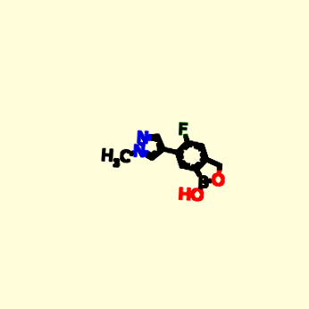 Cn1cc(-c2cc3c(cc2F)COB3O)cn1